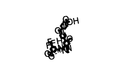 COc1cc2nc(C)nc(N[C@H](C)c3cc([N+](=O)[O-])cc(C(F)(F)F)c3)c2cc1C1=CCN(C(=O)C2CCN(C(=O)O)CC2)CC1